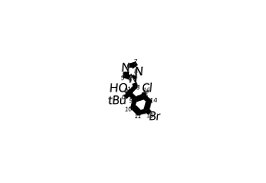 CC(C)(C)C(O)(Cn1cncn1)c1ccc(Br)cc1Cl